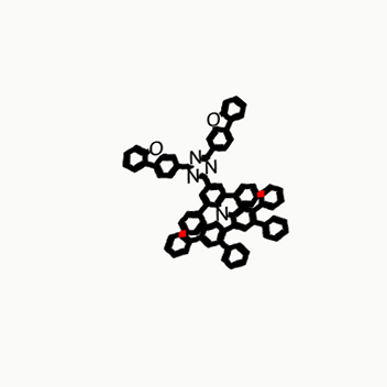 c1ccc(-c2cc(-c3ccccc3)c3c4cc(-c5ccccc5)c(-c5ccccc5)cc4n(-c4c(-c5ccccc5)cc(-c5nc(-c6ccc7c(c6)oc6ccccc67)nc(-c6ccc7c(c6)oc6ccccc67)n5)cc4-c4ccccc4)c3c2)cc1